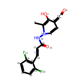 CC1=C(O)C(=C=O)C=CN1NC(=O)/C=C/c1c(F)cccc1F